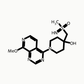 COc1nccc2c(N3CCC(O)(CS(C)(=N)=O)CC3)ncnc12